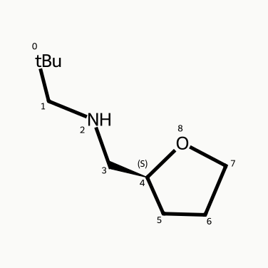 CC(C)(C)CNC[C@@H]1CCCO1